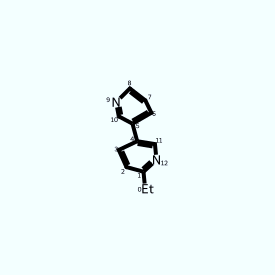 CCc1ccc(-c2cccnc2)cn1